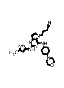 Cc1cc(Nc2nc(N[C@H]3CC[C@H](N4CCOCC4)CC3)c3c(ccn3CCCC#N)n2)sn1